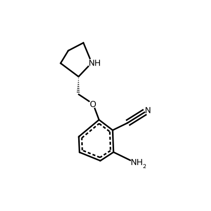 N#Cc1c(N)cccc1OC[C@@H]1CCCN1